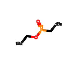 CC(C)(C)CO[PH](=O)CC(C)(C)C